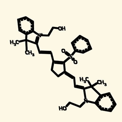 CC1(C)C(/C=C/C2=C(S(=O)(=O)c3ccccc3)C(=C/C=C3/N(CCO)c4ccccc4C3(C)C)/CC2)=[N+](CCO)c2ccccc21